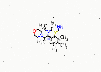 C=CN(CC)/C(=C(/C)C(SC=N)[C@H](C)C(C)C)C(C)N1CCOCC1